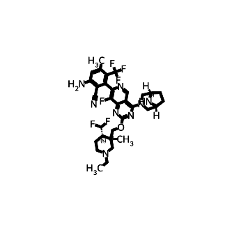 CCN1CC[C@H](C(F)F)[C@](C)(COc2nc(N3C[C@H]4CC[C@@H](C3)N4)c3cnc(-c4c(C#N)c(N)cc(C)c4C(F)(F)F)c(F)c3n2)C1